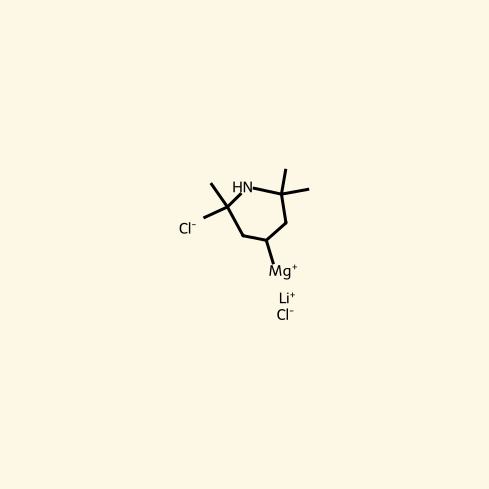 CC1(C)C[CH]([Mg+])CC(C)(C)N1.[Cl-].[Cl-].[Li+]